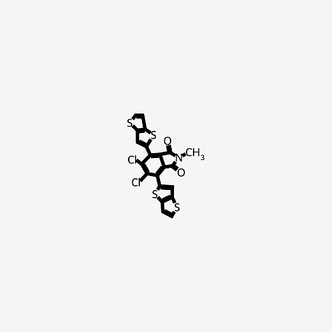 CN1C(=O)c2c(c(-c3cc4sccc4s3)c(Cl)c(Cl)c2-c2cc3sccc3s2)C1=O